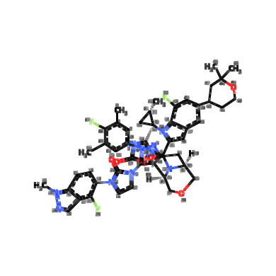 Cc1cc(-n2nc3c(c2-n2ccn(-c4ccc5c(cnn5C)c4F)c2=O)[C@@H]2COC[C@H](C3)N2C(=O)c2cc3cc(C4CCOC(C)(C)C4)cc(F)c3n2[C@@]2(c3noc(=O)[nH]3)C[C@@H]2C)cc(C)c1F